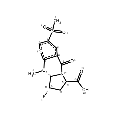 COc1ccc(S(C)(=O)=O)cc1C(=O)N1C[C@@H](F)C[C@@H]1C(=O)O